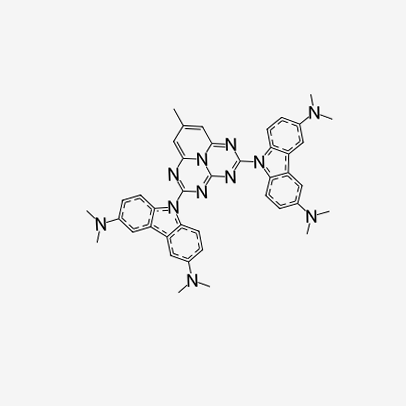 CC1=CC2=NC(n3c4ccc(N(C)C)cc4c4cc(N(C)C)ccc43)=NC3=NC(n4c5ccc(N(C)C)cc5c5cc(N(C)C)ccc54)=NC(=C1)N23